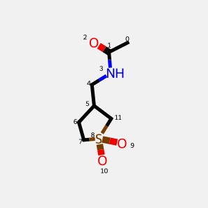 CC(=O)NCC1CCS(=O)(=O)C1